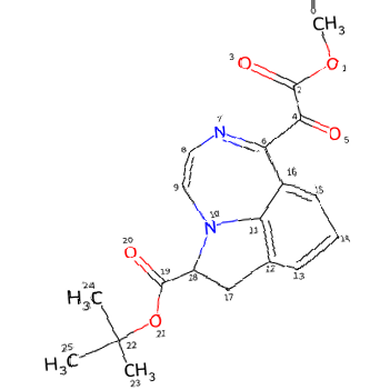 COC(=O)C(=O)C1=NC=CN2c3c(cccc31)CC2C(=O)OC(C)(C)C